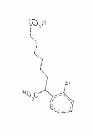 CCc1ccccc1C(CCCCCCC(=O)O)C(=O)O